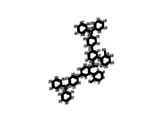 Cc1ccccc1-c1cc(-c2ccc(N(c3ccccc3)c3ccccc3)cc2)ccc1N(C)c1ccc(-c2ccc(N(c3ccccc3)c3ccccc3)cc2)cc1-c1ccccc1C